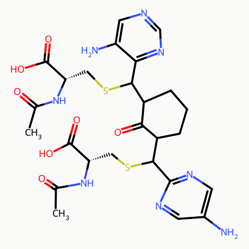 CC(=O)N[C@@H](CSC(c1ncc(N)cn1)C1CCCC(C(SC[C@H](NC(C)=O)C(=O)O)c2ncncc2N)C1=O)C(=O)O